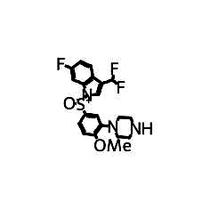 COc1ccc([S+]([O-])n2cc(C(F)F)c3ccc(F)cc32)cc1N1CCNCC1